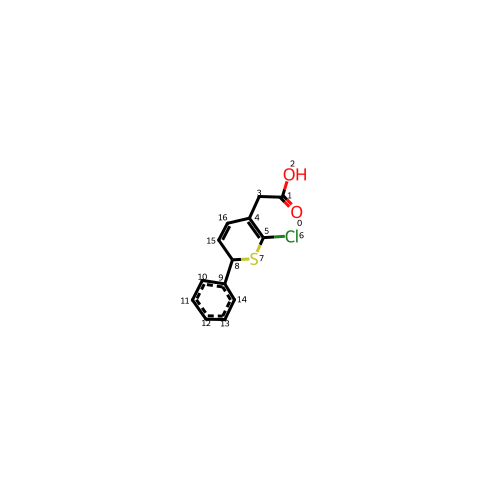 O=C(O)CC1=C(Cl)SC(c2ccccc2)C=C1